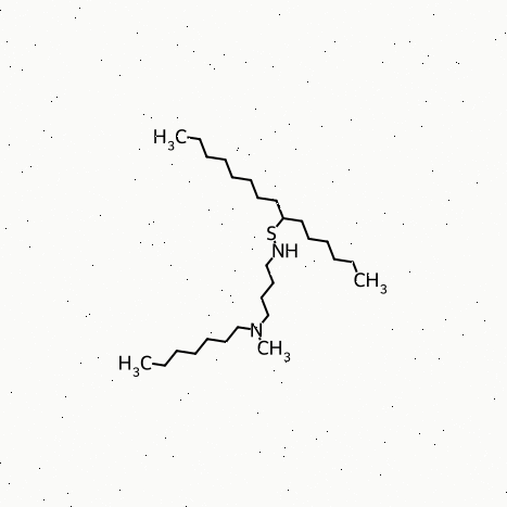 CCCCCCCCC(CCCCCC)SNCCCCN(C)CCCCCCC